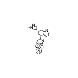 Cn1cc(-c2cc(-c3cnc(N4CC5CC(C4)N5C(=O)OC(C)(C)C)cn3)c3cccnc3c2)cn1